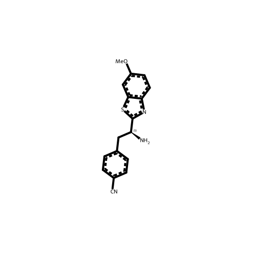 COc1ccc2nc([C@@H](N)Cc3ccc(C#N)cc3)sc2c1